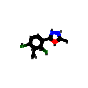 Cc1nnc(-c2ccc(Cl)c(C(F)(F)F)c2Cl)o1